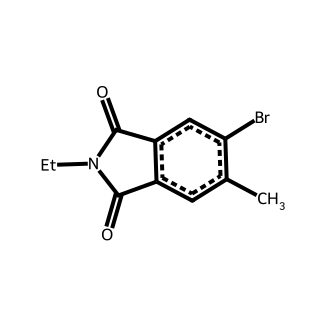 CCN1C(=O)c2cc(C)c(Br)cc2C1=O